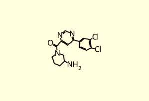 NC1CCCN(C(=O)c2cc(-c3ccc(Cl)c(Cl)c3)ncn2)C1